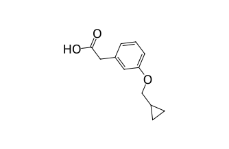 O=C(O)Cc1cccc(OCC2CC2)c1